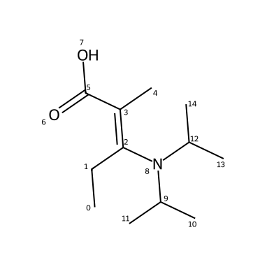 CC/C(=C(/C)C(=O)O)N(C(C)C)C(C)C